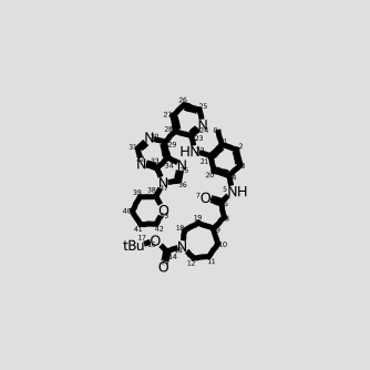 Cc1ccc(NC(=O)CC2CCCN(C(=O)OC(C)(C)C)CC2)cc1Nc1ncccc1-c1ncnc2c1ncn2C1CCCCO1